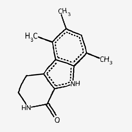 Cc1cc(C)c2[nH]c3c(c2c1C)CCNC3=O